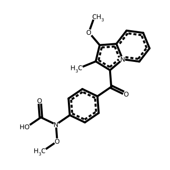 COc1c(C)c(C(=O)c2ccc(N(OC)C(=O)O)cc2)n2ccccc12